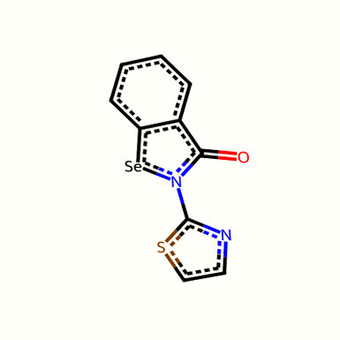 O=c1c2ccccc2[se]n1-c1nccs1